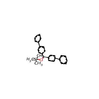 C[Si](C)(C)O[C](c1ccc(-c2ccccc2)cc1)c1ccc(-c2ccccc2)cc1